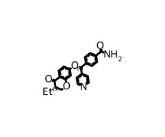 CC[C@H]1COc2cc(O[C@@H](c3ccncc3)c3ccc(C(N)=O)cc3)ccc2C1=O